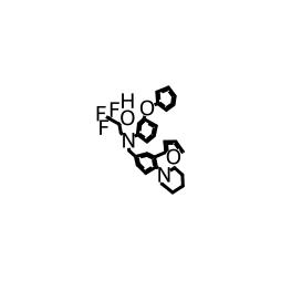 OC(CN(Cc1ccc(N2CCCCC2)c(-c2ccco2)c1)c1cccc(Oc2ccccc2)c1)C(F)(F)F